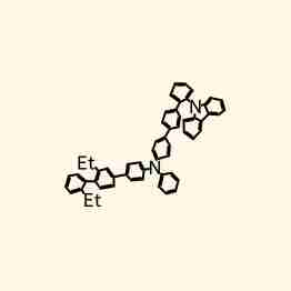 CCc1ccccc1-c1ccc(-c2ccc(N(c3ccccc3)c3ccc(-c4ccc(-c5ccccc5-n5c6ccccc6c6ccccc65)cc4)cc3)cc2)cc1CC